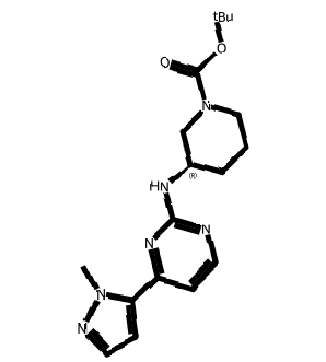 Cn1nccc1-c1ccnc(N[C@@H]2CCCN(C(=O)OC(C)(C)C)C2)n1